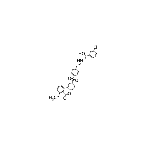 CCc1cccc(-c2cccc(S(=O)(=O)c3ccc(CCNCC(O)c4cccc(Cl)c4)cc3)c2)c1C(=O)O